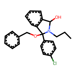 CCCN1C(O)c2ccccc2C1(OCc1ccccc1)c1ccc(Cl)cc1